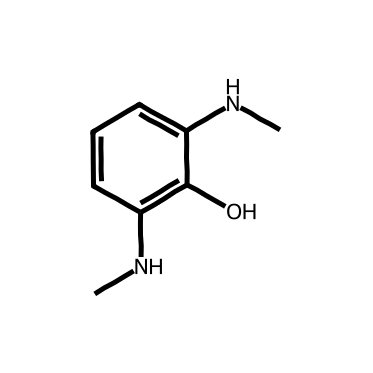 CNc1cccc(NC)c1O